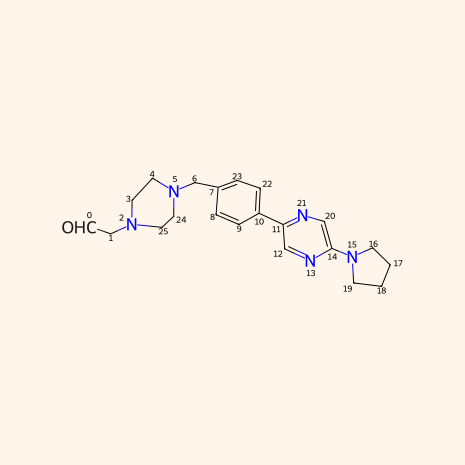 O=CCN1CCN(Cc2ccc(-c3cnc(N4CCCC4)cn3)cc2)CC1